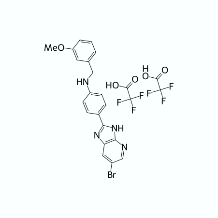 COc1cccc(CNc2ccc(-c3nc4cc(Br)cnc4[nH]3)cc2)c1.O=C(O)C(F)(F)F.O=C(O)C(F)(F)F